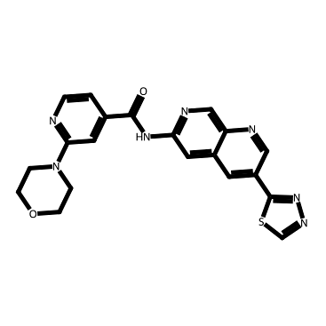 O=C(Nc1cc2cc(-c3nncs3)cnc2cn1)c1ccnc(N2CCOCC2)c1